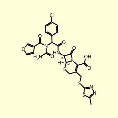 Cc1nnc(SCC2=C(C(=O)O)N3C(=O)[C@H](NC(=O)C(c4ccc(Cl)cc4)N(C(N)=O)C(=O)c4ccoc4)[C@@H]3SC2)s1